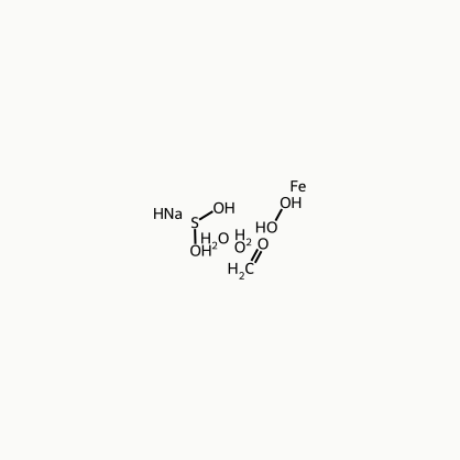 C=O.O.O.OO.OSO.[Fe].[NaH]